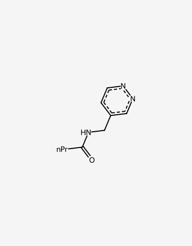 CCCC(=O)NCc1ccnnc1